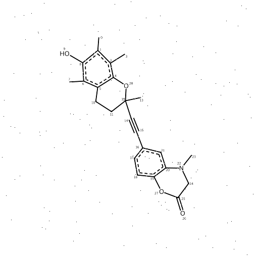 Cc1c(C)c2c(c(C)c1O)CCC(C)(C#Cc1ccc3c(c1)N(C)CC(=O)O3)O2